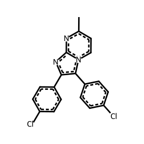 Cc1ccn2c(-c3ccc(Cl)cc3)c(-c3ccc(Cl)cc3)nc2n1